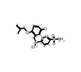 C=C(C)COc1ccc(Cl)cc1CN(CC)c1ccc(S(N)(=O)=O)nn1